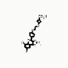 O=C(O)C1CC(OCCOc2ccc(-c3oc4c(Cl)cc(F)cc4c(=O)c3OC(F)(F)F)cc2)C1